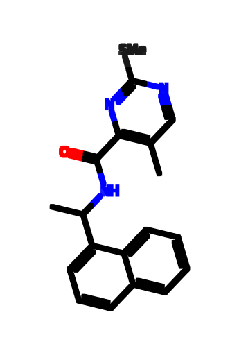 CSc1ncc(C)c(C(=O)NC(C)c2cccc3ccccc23)n1